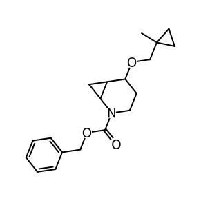 CC1(COC2CCN(C(=O)OCc3ccccc3)C3CC23)CC1